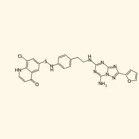 Nc1nc(NCCc2ccc(NSc3cc(Cl)c4[nH]ccc(=O)c4c3)cc2)nc2nc(-c3ccco3)nn12